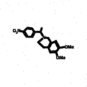 COc1cc2c(cc1OC)CN(C(C)c1ccc([N+](=O)[O-])cc1)CC2